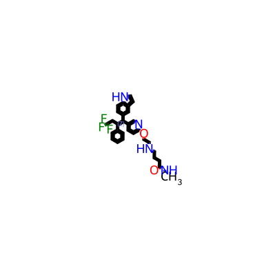 CNC(=O)CCCNCCOc1ccc(/C(=C(/CC(F)(F)F)c2ccccc2)c2ccc3[nH]ccc3c2)cn1